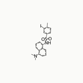 Cc1ccc(S(=O)(=O)Nc2cccc3c(N(C)C)cccc23)cc1I